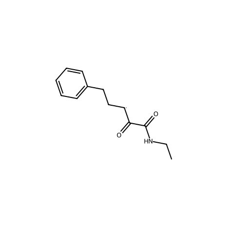 CCNC(=O)C(=O)[CH]CCc1ccccc1